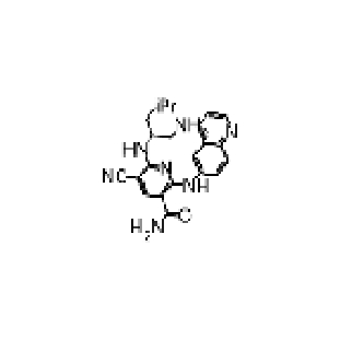 CC(C)CC(CN)Nc1nc(Nc2ccc3ncccc3c2)c(C(N)=O)cc1C#N